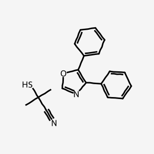 CC(C)(S)C#N.c1ccc(-c2ncoc2-c2ccccc2)cc1